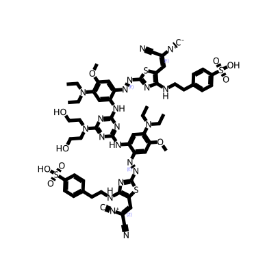 [C-]#[N+]/C(C#N)=C\c1sc(/N=N/c2cc(OC)c(N(CC)CC)cc2Nc2nc(Nc3cc(N(CC)CC)c(OC)cc3/N=N/c3nc(NCCc4ccc(S(=O)(=O)O)cc4)c(/C=C(\C#N)[N+]#[C-])s3)nc(N(CCO)CCO)n2)nc1NCCc1ccc(S(=O)(=O)O)cc1